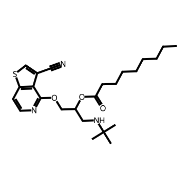 CCCCCCCCC(=O)OC(CNC(C)(C)C)COc1nccc2scc(C#N)c12